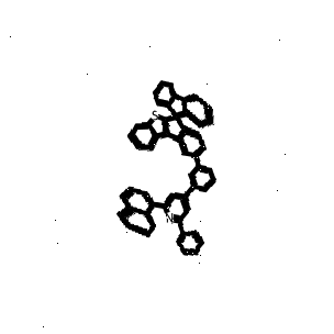 c1ccc(-c2cc(-c3cccc(-c4ccc5c(c4)-c4c(sc6ccccc46)C54c5ccccc5-c5ccccc54)c3)cc(-c3cccc4ccccc34)n2)cc1